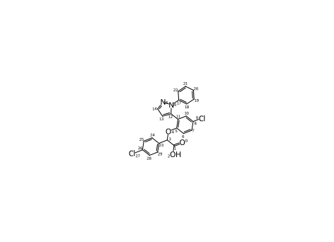 O=C(O)C(Oc1ccc(Cl)cc1-c1ccnn1-c1ccccc1)c1ccc(Cl)cc1